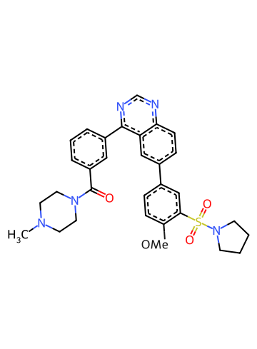 COc1ccc(-c2ccc3ncnc(-c4cccc(C(=O)N5CCN(C)CC5)c4)c3c2)cc1S(=O)(=O)N1CCCC1